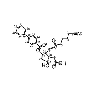 N#CCCCCC(=O)C=CC1C(OC(=O)c2ccc(-c3ccccc3)cc2)CC(O)C1CC(=O)O